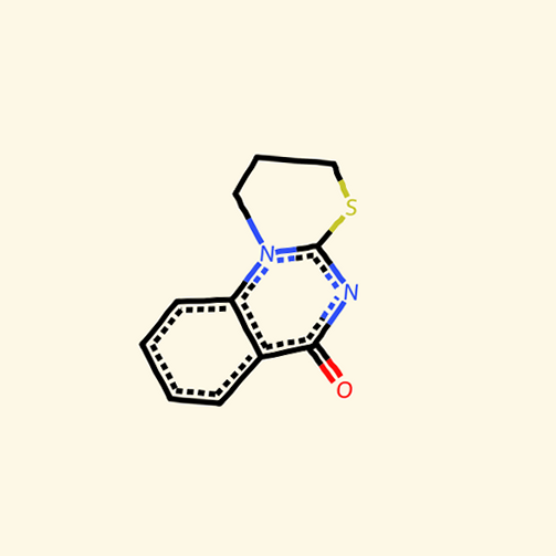 O=c1nc2n(c3ccccc13)CCCS2